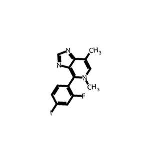 Cc1cn(C)c(-c2ccc(I)cc2F)c2ncnc1-2